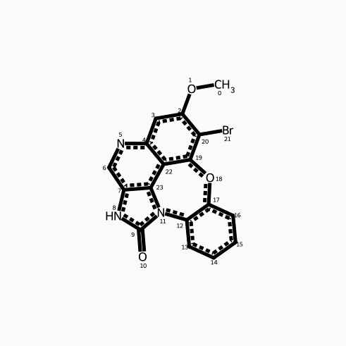 COc1cc2ncc3[nH]c(=O)n4c5ccccc5oc(c1Br)c2c34